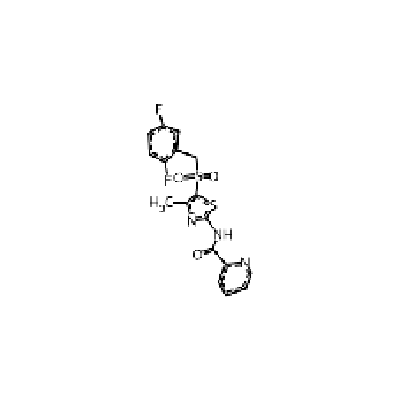 Cc1nc(NC(=O)c2ccccn2)sc1S(=O)(=O)Cc1cc(F)ccc1F